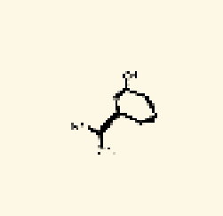 N#CC(C#N)=C1C=C(O)CCC1